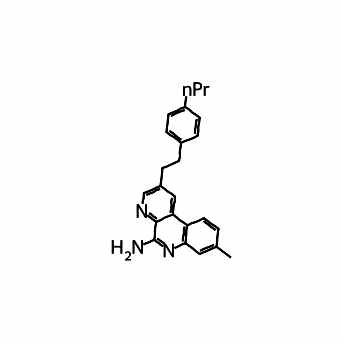 CCCc1ccc(CCc2cnc3c(N)nc4cc(C)ccc4c3c2)cc1